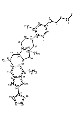 COCCOc1cnc(N2CCN3[C@H](CC[C@H]3CN(C)c3cc4nc(-c5ncco5)nn4c(N)n3)C2)c(F)c1